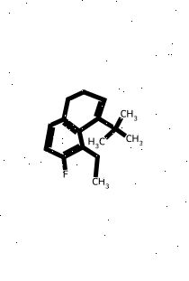 CCc1c(F)ccc2c1C(C(C)(C)C)=CCC2